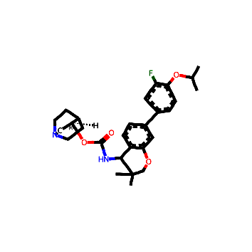 CC(C)Oc1ccc(-c2ccc3c(c2)OCC(C)(C)C3NC(=O)O[C@H]2CN3CCC2CC3)cc1F